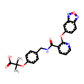 CC(C)(Oc1ccc(CNC(=O)c2cccnc2Oc2ccc3nonc3c2)cc1)C(=O)O